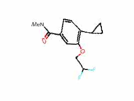 CNC(=O)c1ccc(C2CC2)c(OCC(F)F)c1